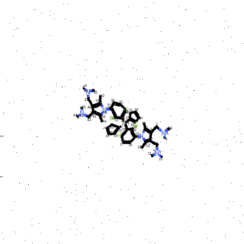 Cc1c(CN(C)C)c(CN(C)C)c(C)n1-c1ccc(F)[c]([Ti]([C]2=CC=CC2)([C]2=CC=CC2)[c]2c(F)ccc(-n3c(C)c(CN(C)C)c(CN(C)C)c3C)c2F)c1F